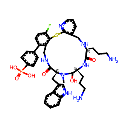 CN1C(O)[C@H](CCCN)NC(=O)[C@H](CCCN)NCc2cccnc2Sc2c(F)ccc(-c3ccc(P(=O)(O)O)cc3)c2CNC(=O)[C@@H]1Cc1c[nH]c2ccccc12